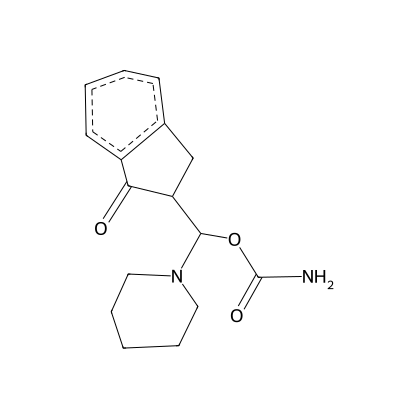 NC(=O)OC(C1Cc2ccccc2C1=O)N1CCCCC1